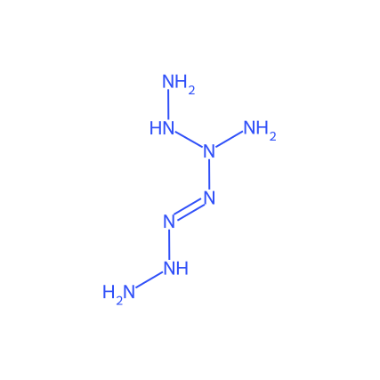 NN/N=N/N(N)NN